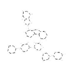 c1ccc(-c2ccc(-c3cc(-c4cccc(-c5ccccc5)c4)nc(-c4cccc5oc6c(-c7nc8ccccc8s7)cccc6c45)n3)cc2)cc1